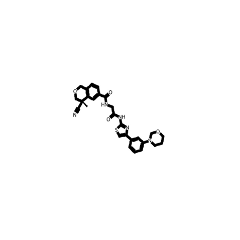 C[C@@]1(C#N)COCc2ccc(C(=O)NCC(=O)Nc3nc(-c4cccc(N5CCCOC5)c4)cs3)cc21